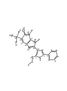 CCSc1sc(-c2ccccc2)cc1-c1nc2cc(C(F)(F)F)c(=O)n(C)c2n1C